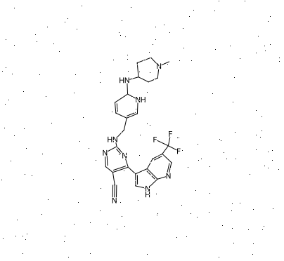 CN1CCC(NC2C=CC(CNc3ncc(C#N)c(-c4c[nH]c5ncc(C(F)(F)F)cc45)n3)=CN2)CC1